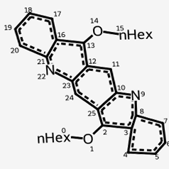 CCCCCCOc1c2ccccc2nc2cc3c(OCCCCCC)c4ccccc4nc3cc12